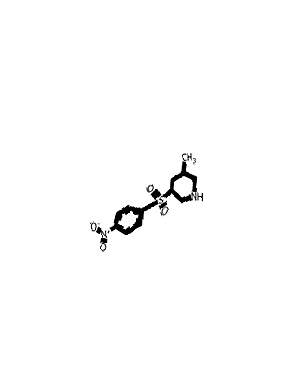 CC1CNCC(S(=O)(=O)c2ccc([N+](=O)[O-])cc2)C1